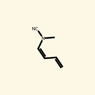 C=C/C=C\N(C)C#N